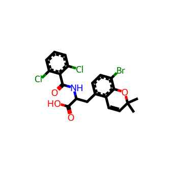 CC1(C)C=Cc2c(CC(NC(=O)c3c(Cl)cccc3Cl)C(=O)O)ccc(Br)c2O1